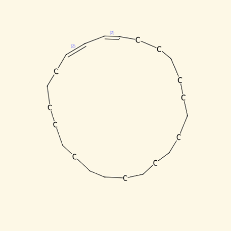 [C]1=C\C=C/CCCCCCCCCCCCCCCCCCC/1